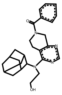 O=C(c1ccccc1)N1CCc2c(ncnc2N(CCO)C2C3CC4CC(C3)CC2C4)C1